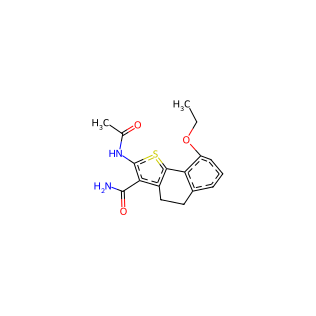 CCOc1cccc2c1-c1sc(NC(C)=O)c(C(N)=O)c1CC2